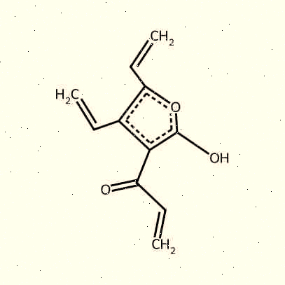 C=CC(=O)c1c(O)oc(C=C)c1C=C